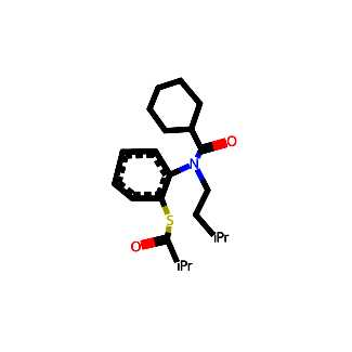 CC(C)CCN(C(=O)C1CCCCC1)c1ccccc1SC(=O)C(C)C